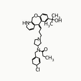 CCC(=O)N(CC1=CCC(Cl)C=C1)[C@H]1CCN(CC/C=C2\C3=C(COc4ccc(C(C)(C)O)cc42)NCC=C3)C1